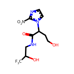 O=C(NCC(O)C(F)(F)F)C(CCO)n1ccnc1[N+](=O)[O-]